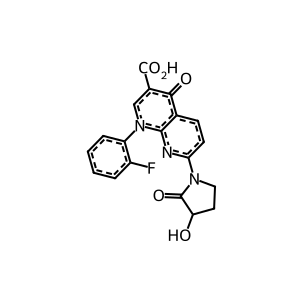 O=C(O)c1cn(-c2ccccc2F)c2nc(N3CCC(O)C3=O)ccc2c1=O